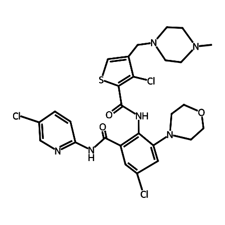 CN1CCN(Cc2csc(C(=O)Nc3c(C(=O)Nc4ccc(Cl)cn4)cc(Cl)cc3N3CCOCC3)c2Cl)CC1